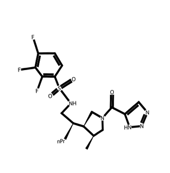 CCC[C@@H](CNS(=O)(=O)c1ccc(F)c(F)c1F)[C@H]1CN(C(=O)c2cnn[nH]2)C[C@H]1C